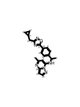 Cc1cc(NC(C)c2ccc(-c3nc(CC4CC4)no3)cc2)n2nccc2n1